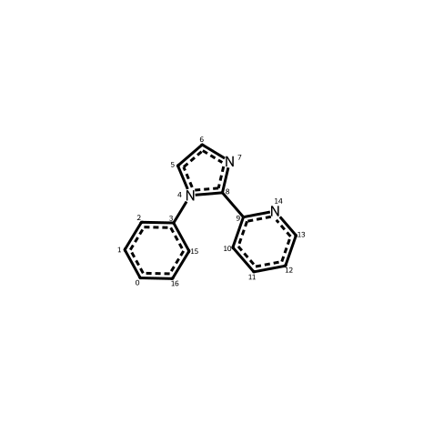 c1ccc(-n2ccnc2-c2ccccn2)cc1